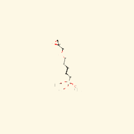 CO[Si](CCCCCOCC1CO1)(OC)OC